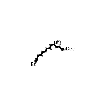 [CH2]CC#CCCCCCCCC(CCC)CCCCCCCCCCCC[CH2]